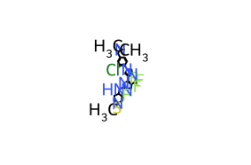 CSN1CCC(Nc2ncc(C(F)(F)F)c(-c3cn(-c4ccc(CN(C)C)cc4Cl)cn3)n2)C(F)C1